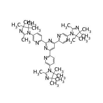 CC1=NC(C)(C)C(C)(C)N1c1ccc(-c2cc(-c3ccc(N4C(C)=NC(C)(C)C4(C)C)cn3)nc(-c3ccc(N4C(C)=NC(C)(C)C4(C)C)cn3)n2)nc1